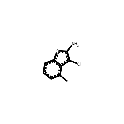 Cc1cccc2sc(N)c(Cl)c12